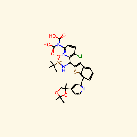 CC1(C)OCC(C)(c2ccnc(-c3cccc4cc(C(N[S@@+]([O-])C(C)(C)C)c5nc(N(C(=O)O)C(=O)O)ccc5Cl)sc34)c2)O1